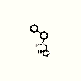 CC(C)N(Cc1ncc[nH]1)c1cccc(-c2ccccc2)c1